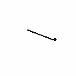 CCCCCCCCCCCCCCCCCCCCCCCCCCCCCc1ccccc1